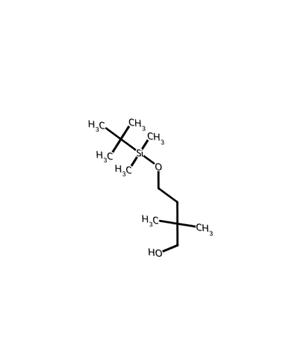 CC(C)(CO)CCO[Si](C)(C)C(C)(C)C